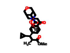 COC(=O)[C@@H](C)[C@H](c1ccc2c(c1)OC(C1C3COCC1CN(C(=O)OC(C)(C)C)C3)CC2=O)C1CC1